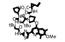 C=CC1C[C@]1(NC(=O)[C@@H]1C[C@@H](Oc2cc(-c3csc(NC(=O)CC(C)(C)C)n3)nc3c(C)c(OC)c(C)cc23)CN1C(=O)[C@@H](NC(=O)NC1CCCC1)C(C)(C)C)C(=O)O